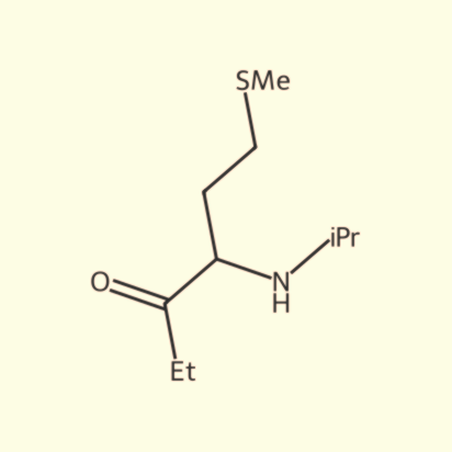 CCC(=O)C(CCSC)NC(C)C